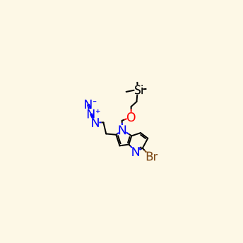 C[Si](C)(C)CCOCn1c(CCN=[N+]=[N-])cc2nc(Br)ccc21